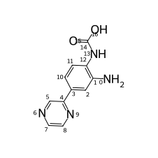 Nc1cc(-c2cnccn2)ccc1NC(=O)O